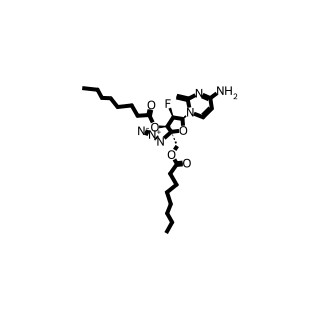 C=C1N=C(N)C=CN1[C@@H]1O[C@@](COC(=O)CCCCCCC)(N=[N+]=[N-])[C@@H](OC(=O)CCCCCCC)[C@H]1F